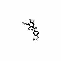 CCn1c(=N)c(F)cn(S(=O)(=O)c2ccc(OC)cc2)c1=O